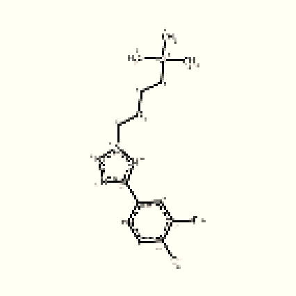 C[Si](C)(C)CCOCn1nnc(-c2ccc(O)c(F)c2)n1